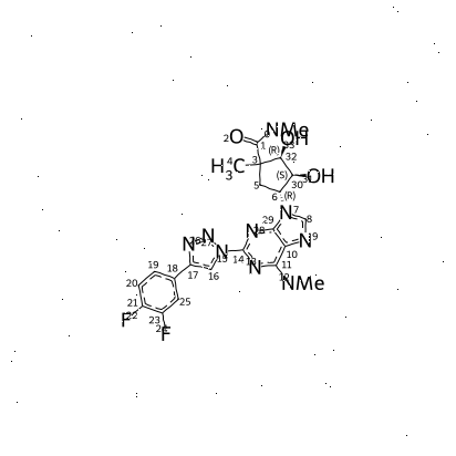 CNC(=O)C1(C)C[C@@H](n2cnc3c(NC)nc(-n4cc(-c5ccc(F)c(F)c5)nn4)nc32)[C@H](O)[C@@H]1O